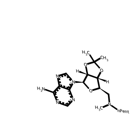 CCCCCN(C)C[C@H]1O[C@@H](n2cnc3c(N)ncnc32)[C@@H]2OC(C)(C)O[C@@H]21